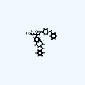 CC(O)(CCC1CCN(Cc2ccccc2)CC1)c1ccc2c(c1)CCN(Cc1ccccc1)CC2.Cl.Cl